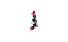 COc1cc(-c2cn(C)c(=O)c(C)c2C)cc(Cl)c1CN1CCc2c(CC3CCN(C(=O)OC(C)(C)C)CC3)cccc2C1